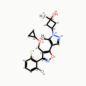 Cc1c(-c2onc(-c3c(F)cccc3Cl)c2COC2CC2)cnn1C1CC(C)(O)C1